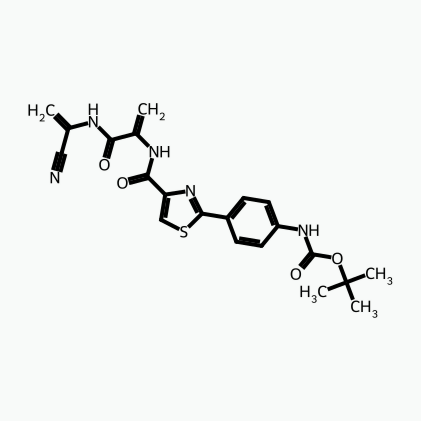 C=C(C#N)NC(=O)C(=C)NC(=O)c1csc(-c2ccc(NC(=O)OC(C)(C)C)cc2)n1